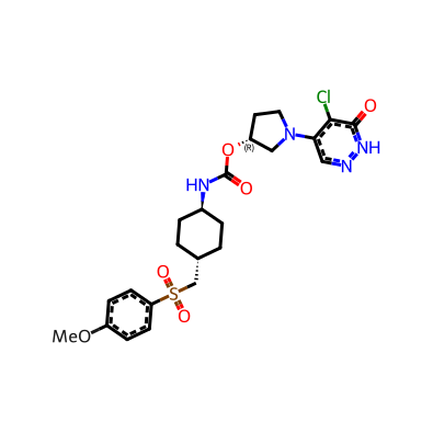 COc1ccc(S(=O)(=O)C[C@H]2CC[C@H](NC(=O)O[C@@H]3CCN(c4cn[nH]c(=O)c4Cl)C3)CC2)cc1